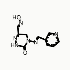 O=C1NN=C(C=NO)CN1N=Cc1cccnc1